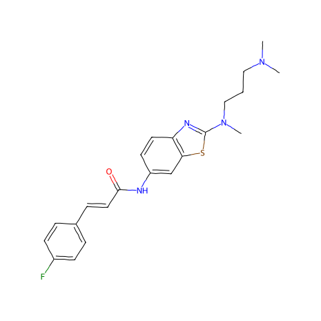 CN(C)CCCN(C)c1nc2ccc(NC(=O)C=Cc3ccc(F)cc3)cc2s1